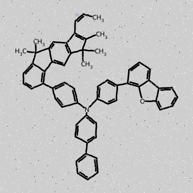 C/C=C\C1=C(C)C(C)(C)c2cc3c(cc21)C(C)(C)c1cccc(-c2ccc(N(c4ccc(-c5ccccc5)cc4)c4ccc(-c5cccc6c5oc5ccccc56)cc4)cc2)c1-3